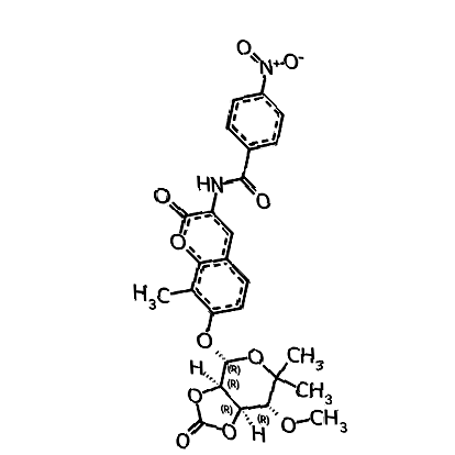 CO[C@@H]1[C@H]2OC(=O)O[C@H]2[C@H](Oc2ccc3cc(NC(=O)c4ccc([N+](=O)[O-])cc4)c(=O)oc3c2C)OC1(C)C